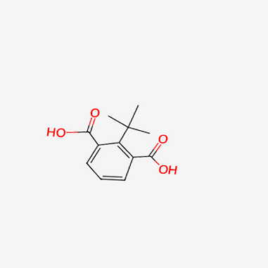 CC(C)(C)c1c(C(=O)O)cccc1C(=O)O